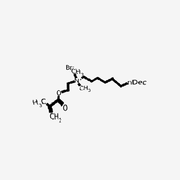 C=C(C)C(=O)OCC[N+](C)(C)CCCCCCCCCCCCCCCC.[Br-]